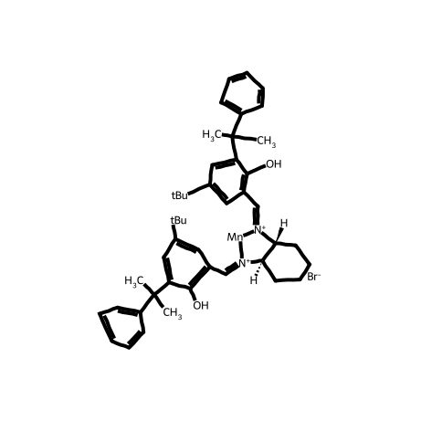 CC(C)(C)c1cc(C=[N+]2[Mn][N+](=Cc3cc(C(C)(C)C)cc(C(C)(C)c4ccccc4)c3O)[C@@H]3CCCC[C@H]32)c(O)c(C(C)(C)c2ccccc2)c1.[Br-]